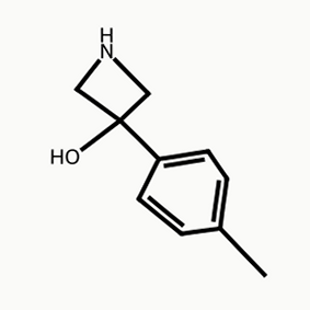 Cc1ccc(C2(O)CNC2)cc1